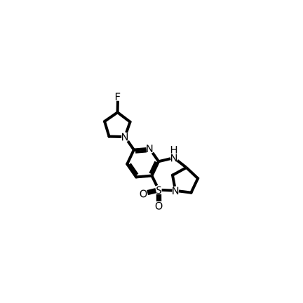 O=S1(=O)c2ccc(N3CCC(F)C3)nc2NC2CCN1C2